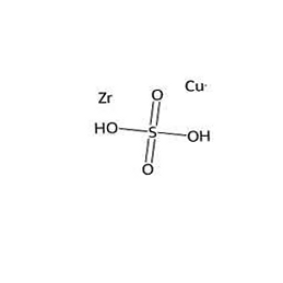 O=S(=O)(O)O.[Cu].[Zr]